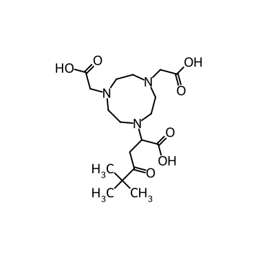 CC(C)(C)C(=O)CC(C(=O)O)N1CCN(CC(=O)O)CCN(CC(=O)O)CC1